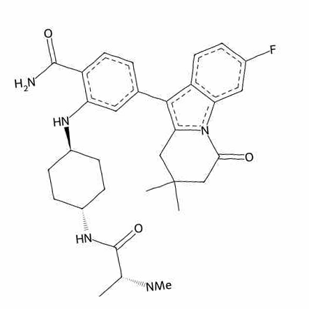 CN[C@H](C)C(=O)N[C@H]1CC[C@H](Nc2cc(-c3c4n(c5cc(F)ccc35)C(=O)CC(C)(C)C4)ccc2C(N)=O)CC1